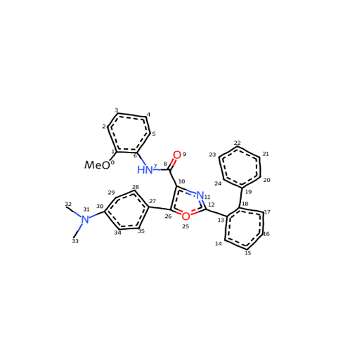 COc1ccccc1NC(=O)c1nc(-c2ccccc2-c2ccccc2)oc1-c1ccc(N(C)C)cc1